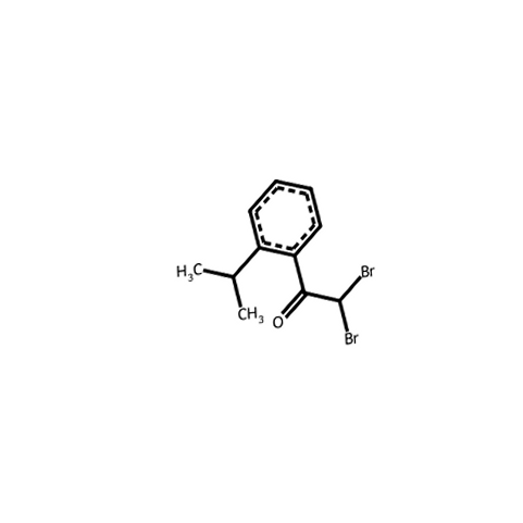 CC(C)c1ccccc1C(=O)C(Br)Br